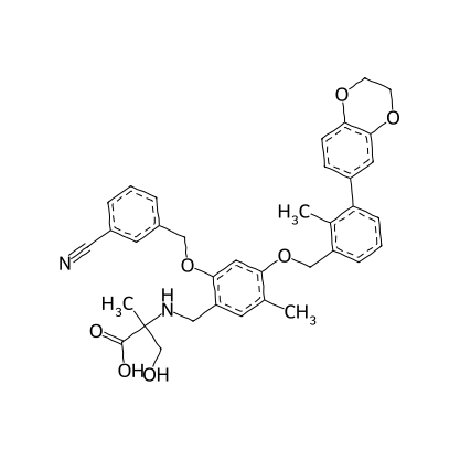 Cc1cc(CNC(C)(CO)C(=O)O)c(OCc2cccc(C#N)c2)cc1OCc1cccc(-c2ccc3c(c2)OCCO3)c1C